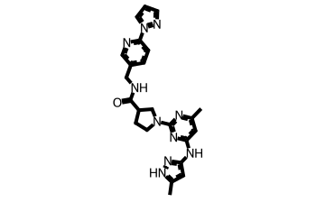 Cc1cc(Nc2cc(C)[nH]n2)nc(N2CCC(C(=O)NCc3ccc(-n4cccn4)nc3)C2)n1